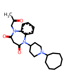 CC(=O)CN1C(=O)CC(=O)N(C2CCN(C3CCCCCCC3)CC2)c2ccccc21